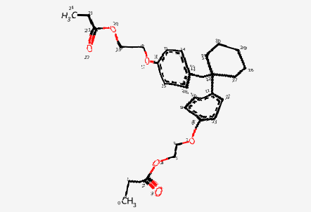 CCC(=O)OCCOc1ccc(C2(c3ccc(OCCOC(=O)CC)cc3)CCCCC2)cc1